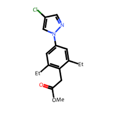 CCc1cc(-n2cc(Cl)cn2)cc(CC)c1CC(=O)OC